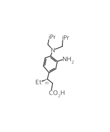 CC[C@H](CC(=O)O)c1ccc(N(CC(C)C)CC(C)C)c(N)c1